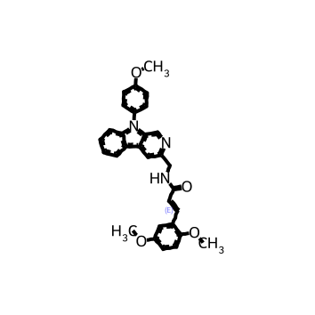 COc1ccc(-n2c3ccccc3c3cc(CNC(=O)/C=C/c4cc(OC)ccc4OC)ncc32)cc1